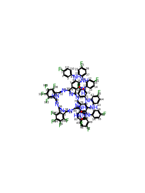 Fc1ccc(Nc2cc3c(c(Nc4ccc(F)cc4)c2Nc2ccc(F)cc2)-c2nc-3nc3[nH]c(nc4nc(nc5c6c(Nc7ccc(F)cc7)c(Nc7ccc(F)cc7)c(Nc7ccc(F)cc7)c(Nc7ccc(F)cc7)c6c(n2)n5Nc2ccc(F)cc2)-c2c(F)c(F)c(F)c(F)c2-4)c2c(F)c(F)c(F)c(F)c32)cc1